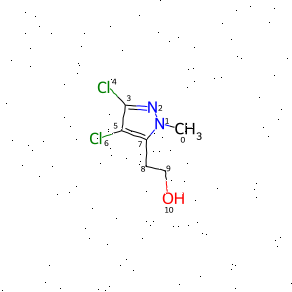 Cn1nc(Cl)c(Cl)c1CCO